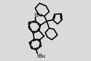 CC(C)(C)c1ccc2c(c1)Cc1c-2ccc(C(C)(C)C)c1C(C1=CC=CC1)(C1CCCCC1)C1CCCCC1